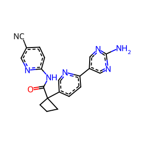 N#Cc1ccc(NC(=O)C2(c3ccc(-c4cnc(N)nc4)nc3)CCC2)nc1